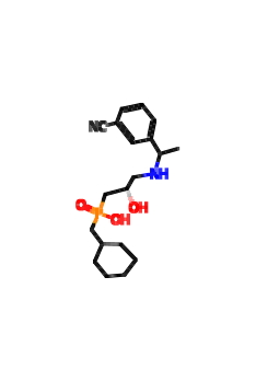 CC(NC[C@H](O)CP(=O)(O)CC1CCCCC1)c1cccc(C#N)c1